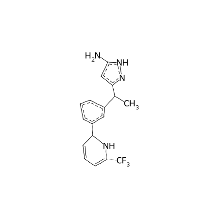 CC(c1cccc(C2C=CC=C(C(F)(F)F)N2)c1)c1cc(N)[nH]n1